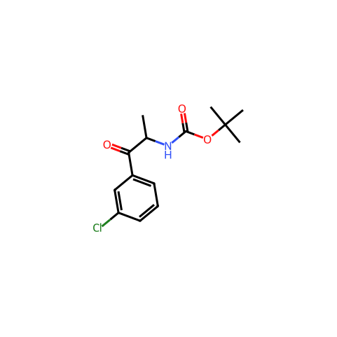 CC(NC(=O)OC(C)(C)C)C(=O)c1cccc(Cl)c1